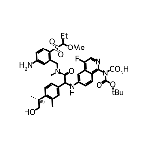 CCC(OC)S(=O)(=O)c1ccc(N)cc1CN(C)C(=O)C(Nc1ccc2c(N(C(=O)O)C(=O)OC(C)(C)C)ncc(F)c2c1)c1ccc([C@@H](C)CO)c(C)c1